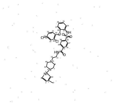 Cc1ccnc(N2CCN(CCNC(=O)c3ccc(S(=O)(=O)Nc4ccccc4Oc4ccc(Cl)cc4Cl)cc3)CC2)c1